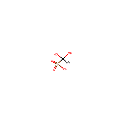 CCCC(O)(O)S(=O)(=O)O